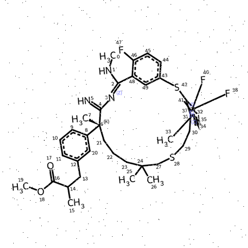 CN/C1=N\C(=N)[C@@](C)(c2cccc(CC(C)C(=O)OC)c2)CCCC(C)(C)CSCCC2=C(C)\C=C/N=C(F)/C(F)=C\2Sc2ccc(F)c1c2